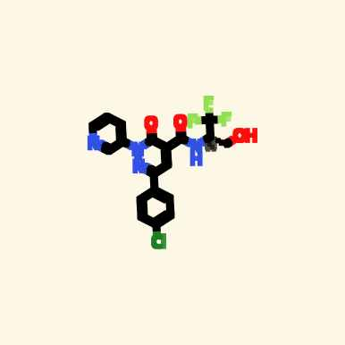 O=C(N[C@@H](CO)C(F)(F)F)c1cc(-c2ccc(Cl)cc2)nn(-c2cccnc2)c1=O